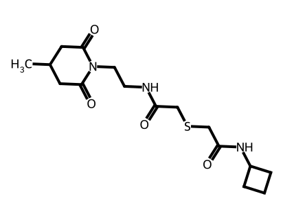 CC1CC(=O)N(CCNC(=O)CSCC(=O)NC2CCC2)C(=O)C1